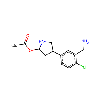 CC(C)(C)C(=O)OC1CC(c2ccc(Cl)c(CN)c2)CN1